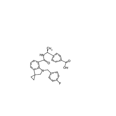 C[C@H](NC(=O)c1cccc2c1N(Cc1ccc(F)cc1)CC21CC1)c1ccc(C(=O)O)cc1